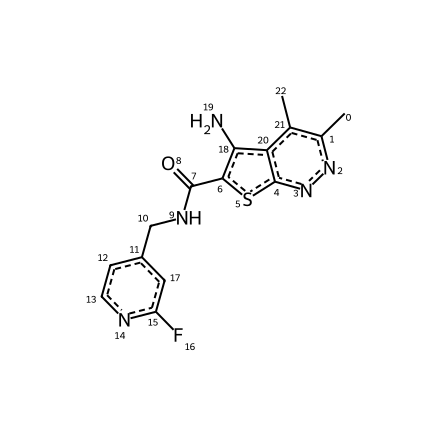 Cc1nnc2sc(C(=O)NCc3ccnc(F)c3)c(N)c2c1C